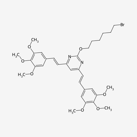 COc1cc(C=Cc2cc(C=Cc3cc(OC)c(OC)c(OC)c3)nc(OCCCCCCBr)n2)cc(OC)c1OC